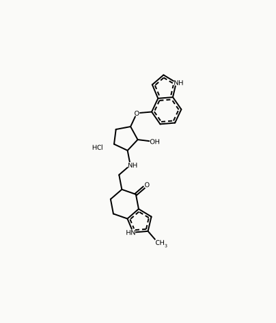 Cc1cc2c([nH]1)CCC(CNC1CCC(Oc3cccc4[nH]ccc34)C1O)C2=O.Cl